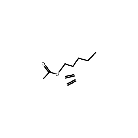 C=C.C=C.CCCCCOC(C)=O